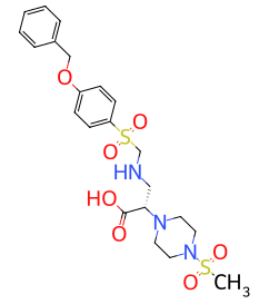 CS(=O)(=O)N1CCN([C@@H](CNCS(=O)(=O)c2ccc(OCc3ccccc3)cc2)C(=O)O)CC1